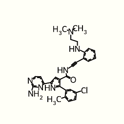 Cc1ccc(Cl)cc1-c1[nH]c(-c2ccnc(N)n2)cc1C(=O)NC#Cc1ccccc1NCCN(C)C